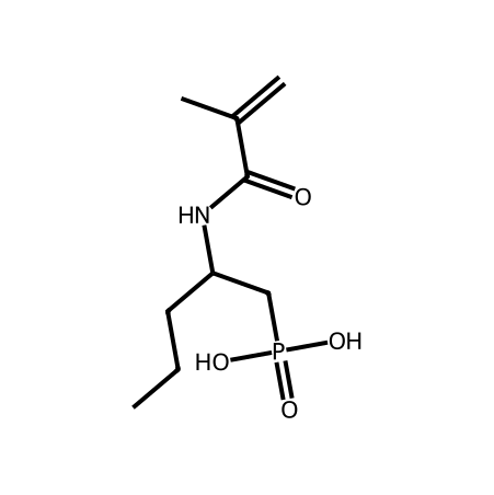 C=C(C)C(=O)NC(CCC)CP(=O)(O)O